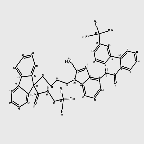 Cc1nc2c(NC(=O)c3ccccc3-c3cccc(C(F)(F)F)c3)cccc2n1CCCCC1(C(=O)NCC(F)(F)F)c2ccccc2-c2ccccc21